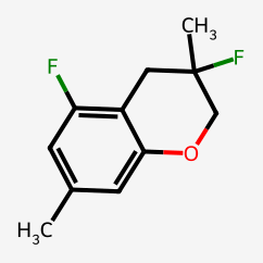 Cc1cc(F)c2c(c1)OCC(C)(F)C2